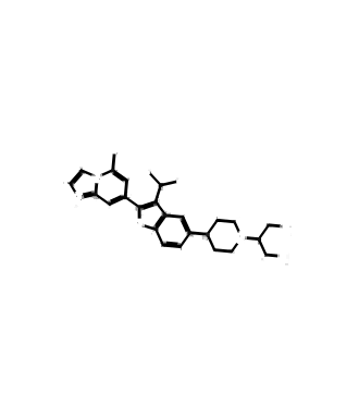 Cc1cc(-c2[nH]c3ccc(C4CCN(C(CO)CO)CC4)cc3c2C(C)C)cc2nccn12